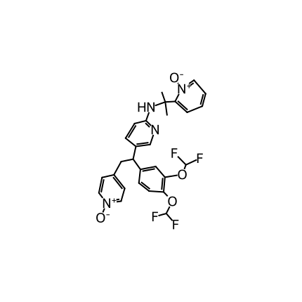 CC(C)(Nc1ccc(C(Cc2cc[n+]([O-])cc2)c2ccc(OC(F)F)c(OC(F)F)c2)cn1)c1cccc[n+]1[O-]